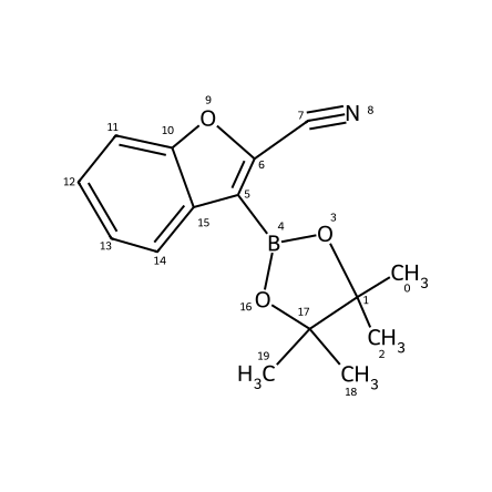 CC1(C)OB(c2c(C#N)oc3ccccc23)OC1(C)C